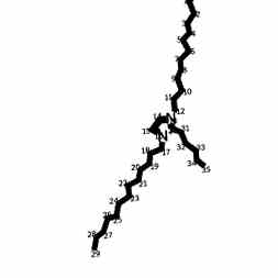 CCCCCCCCCCCCCn1cc[n+](CCCCCCCCCCCCC)c1CCCCC